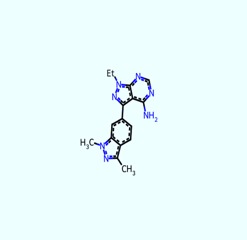 [CH2]Cn1nc(-c2ccc3c(C)nn(C)c3c2)c2c(N)ncnc21